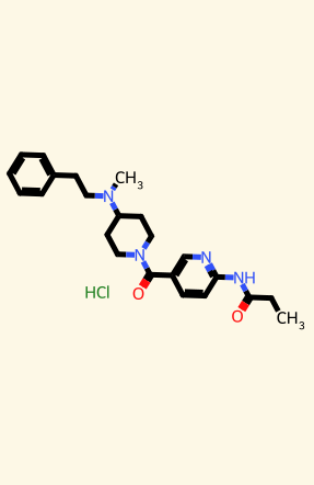 CCC(=O)Nc1ccc(C(=O)N2CCC(N(C)CCc3ccccc3)CC2)cn1.Cl